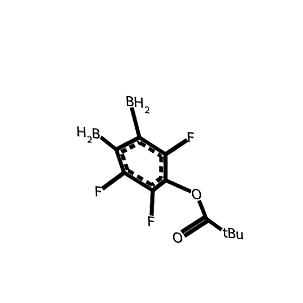 Bc1c(B)c(F)c(OC(=O)C(C)(C)C)c(F)c1F